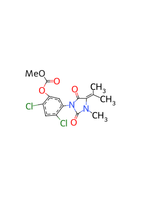 COC(=O)Oc1cc(N2C(=O)C(=C(C)C)N(C)C2=O)c(Cl)cc1Cl